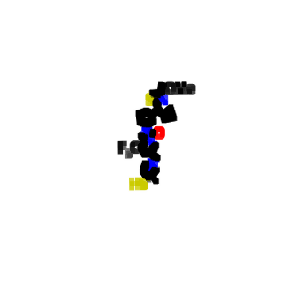 COCc1csc(C(c2cccc(-n3cc4c(C(F)(F)F)cc(CN5CCC(S)[C@H](C)C5)cn4c3=O)c2)C2CCC2)n1